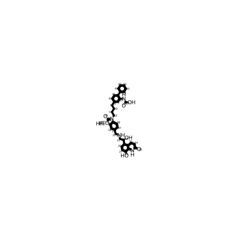 F.F.O=C(O)Nc1cc(CCCCn2c(=O)oc3cc(CNC[C@@H](O)c4ccc(O)c5[nH]c(=O)ccc45)ccc32)ccc1-c1ccccc1